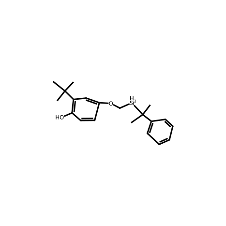 CC(C)(C)c1cc(OC[SiH2]C(C)(C)c2ccccc2)ccc1O